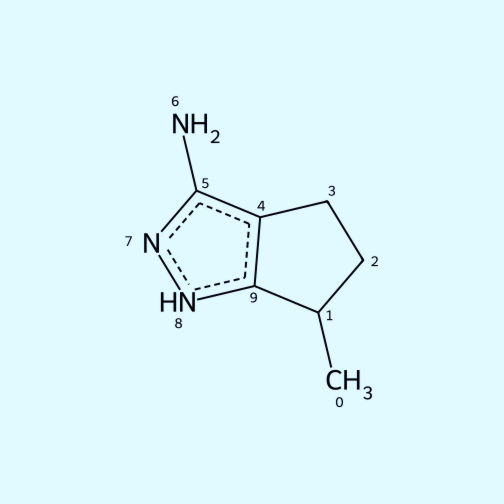 CC1CCc2c(N)n[nH]c21